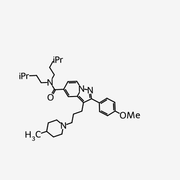 COc1ccc(-c2nn3ccc(C(=O)N(CCC(C)C)CCC(C)C)cc3c2CCCN2CCC(C)CC2)cc1